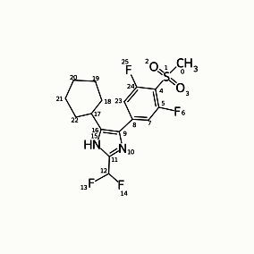 CS(=O)(=O)c1c(F)cc(-c2nc(C(F)F)[nH]c2C2CCCCC2)cc1F